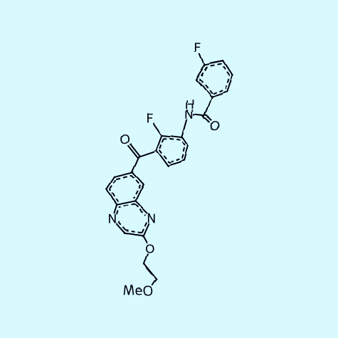 COCCOc1cnc2ccc(C(=O)c3cccc(NC(=O)c4cccc(F)c4)c3F)cc2n1